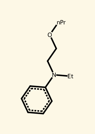 CCCOCCN(CC)c1ccccc1